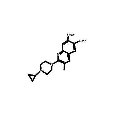 COc1cc2cc(C)c(N3CCN(C4CC4)CC3)nc2cc1OC